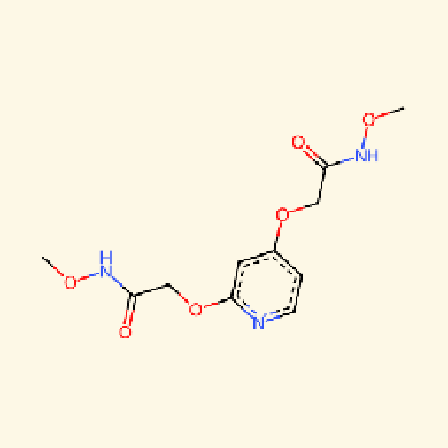 CONC(=O)COc1ccnc(OCC(=O)NOC)c1